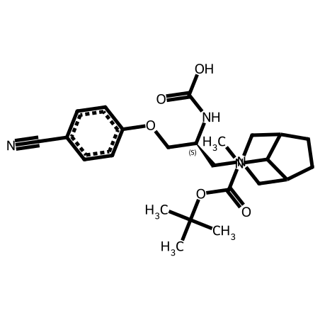 CN(C(=O)OC(C)(C)C)C1C2CCC1CN(C[C@@H](COc1ccc(C#N)cc1)NC(=O)O)C2